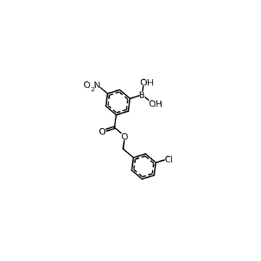 O=C(OCc1cccc(Cl)c1)c1cc(B(O)O)cc([N+](=O)[O-])c1